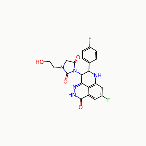 O=C1CN(CCO)C(=O)N1C1c2n[nH]c(=O)c3cc(F)cc(c23)NC1c1ccc(F)cc1